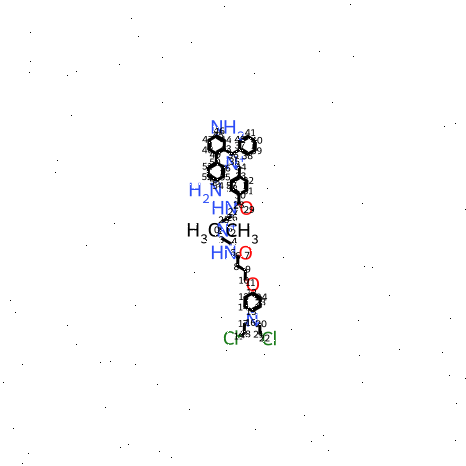 C[N+](C)(CCNC(=O)CCCOc1ccc(N(CCCl)CCCl)cc1)CCNC(=O)c1ccc(C[n+]2c(-c3ccccc3)c3cc(N)ccc3c3ccc(N)cc32)cc1